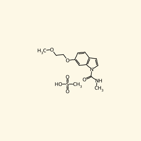 CNC(=O)n1ccc2ccc(OCCOC)cc21.CS(=O)(=O)O